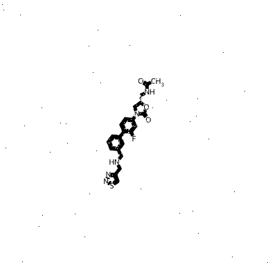 CC(=O)NC[C@H]1CN(c2ccc(-c3cccc(CNCc4csnn4)c3)c(F)c2)C(=O)O1